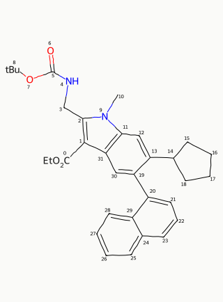 CCOC(=O)c1c(CNC(=O)OC(C)(C)C)n(C)c2cc(C3CCCC3)c(-c3cccc4ccccc34)cc12